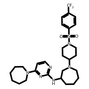 O=S(=O)(c1ccc(C(F)(F)F)cc1)N1CCC(N2CCCCC(Nc3nccc(N4CCCCCC4)n3)C2)CC1